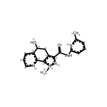 Cc1cccc(NC(=O)c2nn(C)c3c2CC(O)c2cccnc2-3)n1